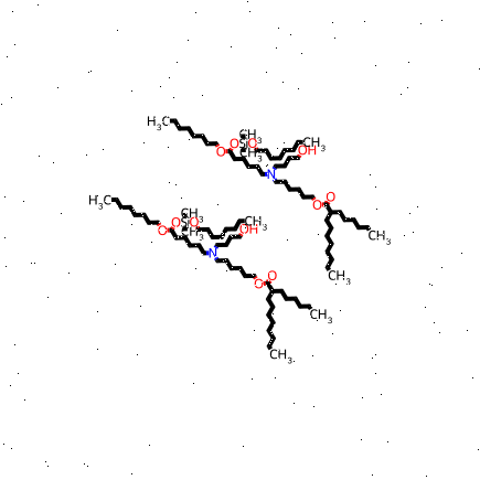 CCCCCCCCOC(CCCCCN(CCCCO)CCCCCCOC(=O)C(CCCCCC)CCCCCCCC)O[Si](C)(C)OCCCCCCCC.CCCCCCCCOC(CCCCCN(CCCCO)CCCCCCOC(=O)C(CCCCCC)CCCCCCCC)O[Si](C)(C)OCCCCCCCC